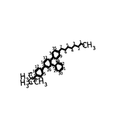 CCCCCCCCc1ccc(-c2ccc(-c3ccc(C(C)(C)C)cc3)cc2-c2ccccc2)cc1